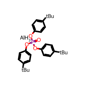 CC(C)(C)c1ccc(OP(=O)(Oc2ccc(C(C)(C)C)cc2)Oc2ccc(C(C)(C)C)cc2)cc1.[AlH3]